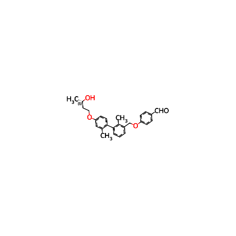 Cc1cc(OCC[C@H](C)O)ccc1-c1cccc(COc2ccc(C=O)cc2)c1C